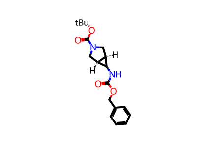 CC(C)(C)OC(=O)N1C[C@@H]2C(NC(=O)OCc3ccccc3)[C@@H]2C1